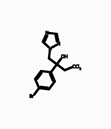 OC(Cn1cncn1)(CC(Cl)(Cl)Cl)c1ccc(Br)cc1